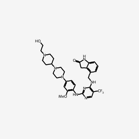 COc1cc(N2CCN(C3CCN(CCO)CC3)CC2)ccc1Nc1ncc(C(F)(F)F)c(NCc2cccc3c2CC(=O)N3)n1